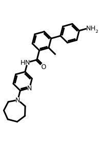 Cc1c(C(=O)Nc2ccc(N3CCCCCC3)nc2)cccc1-c1ccc(N)cc1